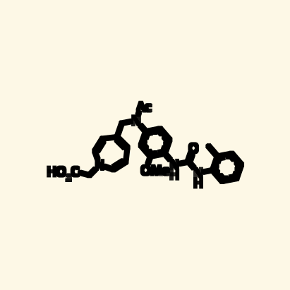 COc1cc(N(CC2=CC=CN(CC(=O)O)C=C2)C(C)=O)ccc1NC(=O)Nc1ccccc1C